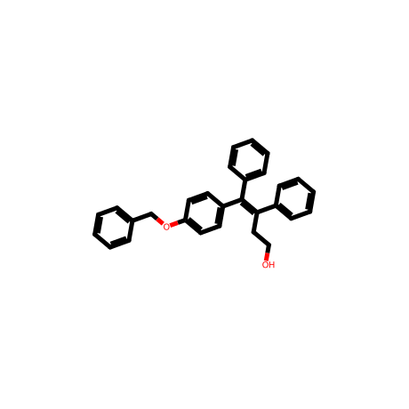 OCCC(=C(c1ccccc1)c1ccc(OCc2ccccc2)cc1)c1ccccc1